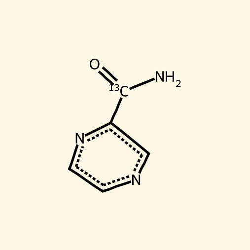 N[13C](=O)c1cnccn1